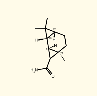 CC1(C)[C@@H]2[C@H]1CC[C@@]1(C)C(C(N)=O)[C@@H]21